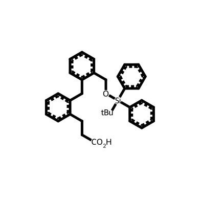 CC(C)(C)[Si](OCc1ccccc1Cc1ccccc1CCC(=O)O)(c1ccccc1)c1ccccc1